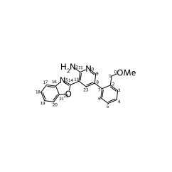 COCc1ccccc1-c1cnc(N)c(-c2nc3ccccc3o2)c1